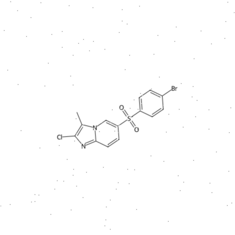 Cc1c(Cl)nc2ccc(S(=O)(=O)c3ccc(Br)cc3)cn12